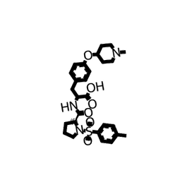 Cc1ccc(S(=O)(=O)N2CCC[C@H]2C(=O)NC(Cc2ccc(OC3CCN(C)CC3)cc2)C(=O)O)cc1